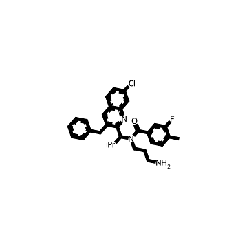 Cc1ccc(C(=O)N(CCCN)C(c2nc3cc(Cl)ccc3cc2Cc2ccccc2)C(C)C)cc1F